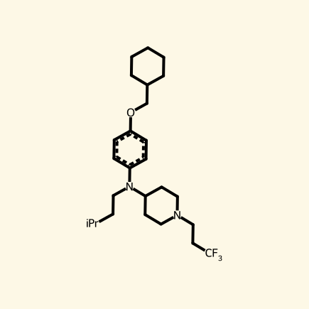 CC(C)CCN(c1ccc(OCC2CCCCC2)cc1)C1CCN(CCC(F)(F)F)CC1